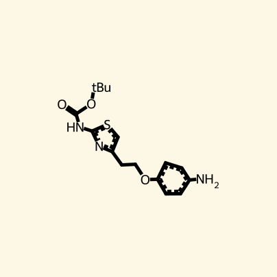 CC(C)(C)OC(=O)Nc1nc(CCOc2ccc(N)cc2)cs1